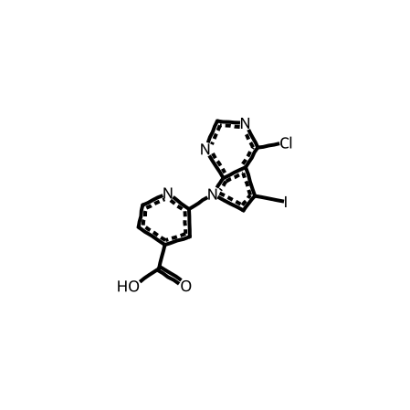 O=C(O)c1ccnc(-n2cc(I)c3c(Cl)ncnc32)c1